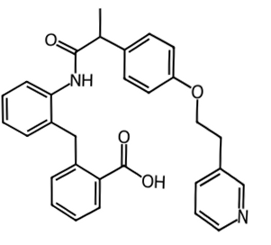 CC(C(=O)Nc1ccccc1Cc1ccccc1C(=O)O)c1ccc(OCCc2cccnc2)cc1